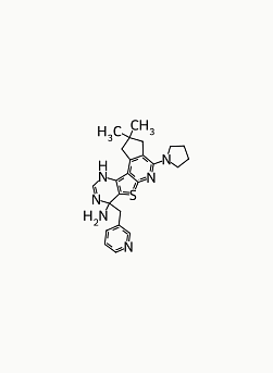 CC1(C)Cc2c(N3CCCC3)nc3sc4c(c3c2C1)NC=NC4(N)Cc1cccnc1